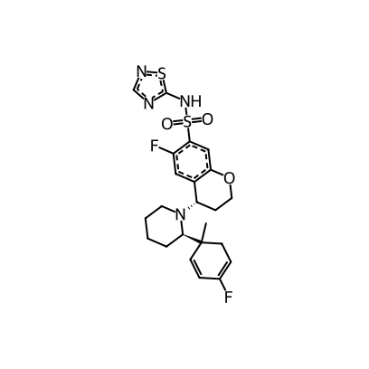 CC1([C@H]2CCCCN2[C@H]2CCOc3cc(S(=O)(=O)Nc4ncns4)c(F)cc32)C=CC(F)=CC1